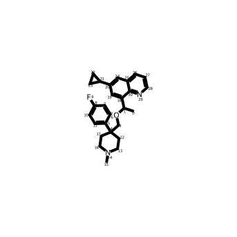 CC(OCC1(c2ccc(F)cc2)CCN(C)CC1)c1cc(C2CC2)cc2cccnc12